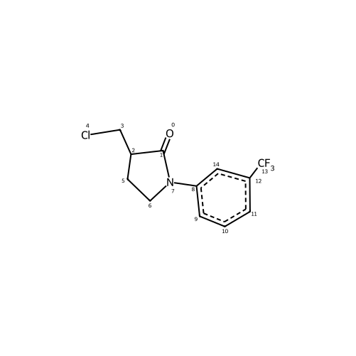 O=C1C(CCl)CCN1c1cccc(C(F)(F)F)c1